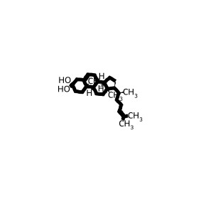 CC(C)=CCC[C@@H](C)[C@H]1CC[C@H]2[C@@H]3CC=C4CC(O)(O)CC[C@]4(C)[C@H]3CC[C@]12C